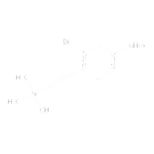 CCCCCCc1ccc(C#C[Si](C)(C)C)c(Br)c1